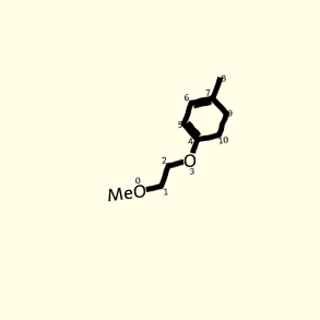 COCCOC1=CC=C(C)CC1